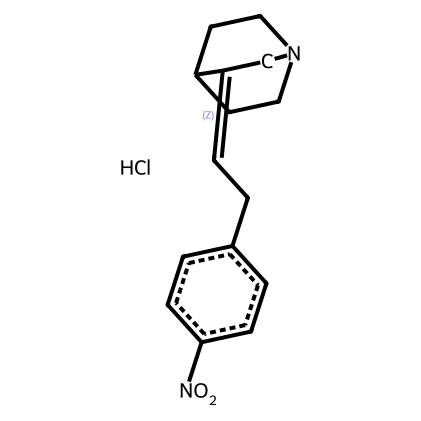 Cl.O=[N+]([O-])c1ccc(C/C=C2\CN3CCC2CC3)cc1